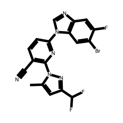 Cc1cc(C(F)F)nn1-c1nc(-n2cnc3cc(F)c(Br)cc32)ccc1C#N